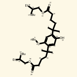 CCCCOc1cc(C(C)(C)CCCC(=O)OCC(CC)CCCC)c(O)cc1C(C)(C)CCCC(=O)OCC(CC)CCCC